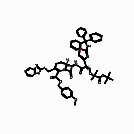 COc1ccc(COC(=O)C2=C(CSc3nc4cnccc4s3)CS[C@H]3C(NC(=O)/C(=N\OC(C)(C)C(=O)OC(C)(C)C)c4csc(NC(c5ccccc5)(c5ccccc5)c5ccccc5)n4)C(=O)N23)cc1